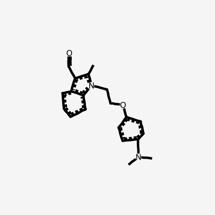 Cc1c(C=O)c2ccccc2n1CCOc1ccc(N(C)C)cc1